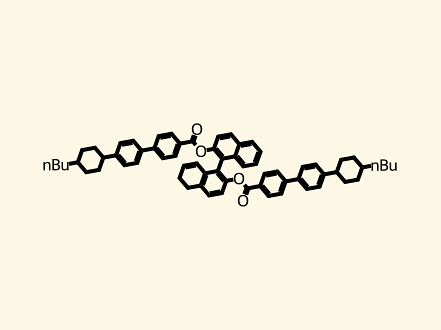 CCCCC1CCC(c2ccc(-c3ccc(C(=O)Oc4ccc5c(c4-c4c(OC(=O)c6ccc(-c7ccc(C8CCC(CCCC)CC8)cc7)cc6)ccc6ccccc46)C=CCC5)cc3)cc2)CC1